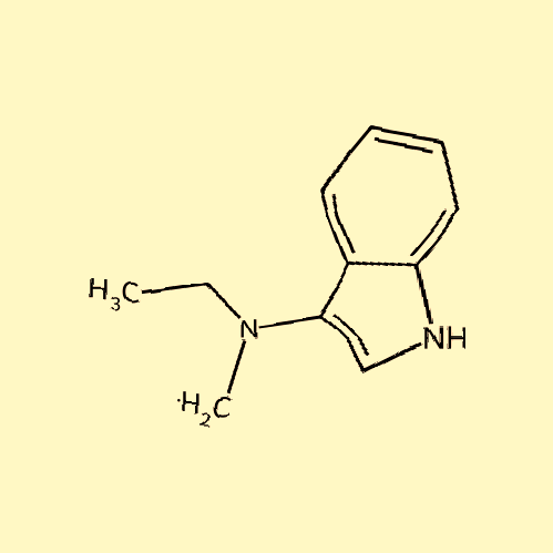 [CH2]N(CC)c1c[nH]c2ccccc12